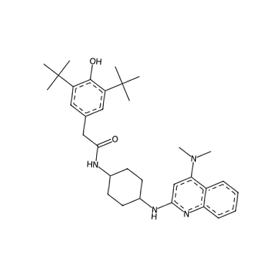 CN(C)c1cc(NC2CCC(NC(=O)Cc3cc(C(C)(C)C)c(O)c(C(C)(C)C)c3)CC2)nc2ccccc12